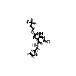 FC(F)(F)CCOc1nc2c(NCc3nccs3)nc(Cl)nc2[nH]1